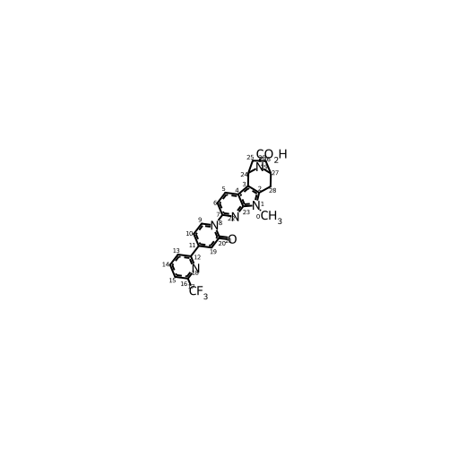 Cn1c2c(c3ccc(-n4ccc(-c5cccc(C(F)(F)F)n5)cc4=O)nc31)C1CCC(C2)N1C(=O)O